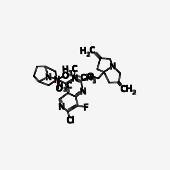 C=C1CN2CC(=C)CC2(COc2nc(N3CC4CCC(C3)N4C(=O)OC(C)(C)C)c3cnc(Cl)c(F)c3n2)C1